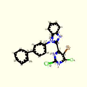 Clc1nc(Cl)c(Br)c(-c2nc3ccccc3n2-c2ccc(-c3ccccc3)cc2)n1